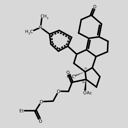 CCC(=O)OCOCC(=O)[C@@]1(OC(C)=O)CCC2C3CCC4=CC(=O)CCC4=C3C(c3ccc(N(C)C)cc3)C[C@@]21C